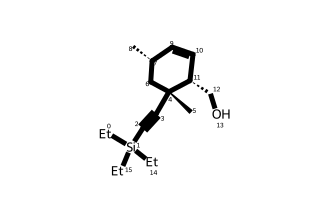 CC[Si](C#C[C@]1(C)C[C@H](C)C=C[C@@H]1CO)(CC)CC